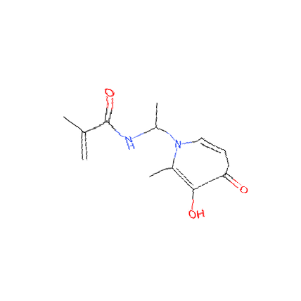 C=C(C)C(=O)NC(C)n1ccc(=O)c(O)c1C